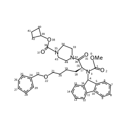 COC(=O)N(C1c2ccccc2-c2ccccc21)[C@@H](CCCCOCc1ccccc1)C(=O)N1CCN(C(=O)OC2CCC2)CC1